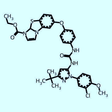 CCOC(=O)N1C=CN2c3cc(Oc4ccc(NC(=O)Nc5cc(C(C)(C)C)nn5-c5ccc(OC)c(Cl)c5)cc4)ccc3SC12